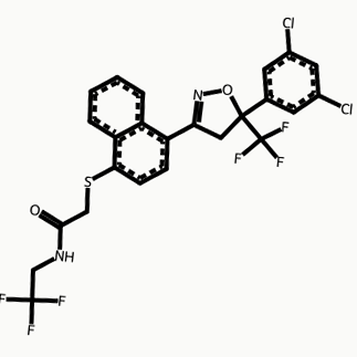 O=C(CSc1ccc(C2=NOC(c3cc(Cl)cc(Cl)c3)(C(F)(F)F)C2)c2ccccc12)NCC(F)(F)F